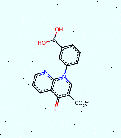 O=C(O)c1cn(-c2cccc(B(O)O)c2)c2ncccc2c1=O